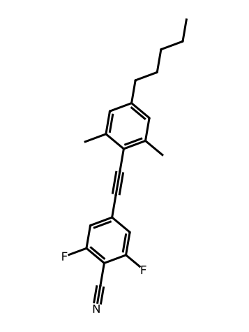 CCCCCc1cc(C)c(C#Cc2cc(F)c(C#N)c(F)c2)c(C)c1